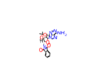 CC1(C)O[C@@H]2[C@@H](CN3C(=O)c4ccccc4C3=O)OC(n3cnc4c(N)ncnc43)[C@@H]2O1